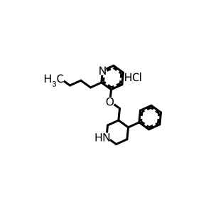 CCCCc1ncccc1OCC1CNCCC1c1ccccc1.Cl